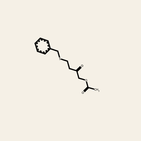 CC(=O)OCC(=O)CCSCc1ccccc1